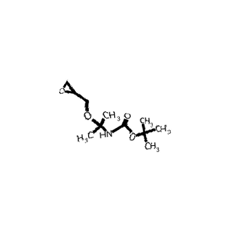 CC(C)(C)OC(=O)NC(C)(C)OCC1CO1